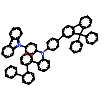 c1ccc(-c2ccccc2-c2ccccc2-c2ccccc2N(c2ccc(-c3ccc4c(c3)C(c3ccccc3)(c3ccccc3)c3ccccc3-4)cc2)c2ccc(-n3c4ccccc4c4ccccc43)cc2)cc1